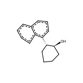 O[C@H]1CCCC[C@@H]1c1cccc2ccccc12